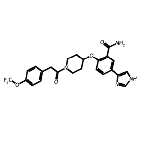 NC(=O)c1cc(-c2c[nH]cn2)ccc1OC1CCN(C(=O)Cc2ccc(OC(F)(F)F)cc2)CC1